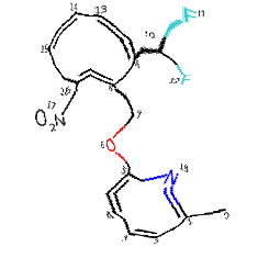 Cc1cccc(OCc2c(C(F)F)cccc2[N+](=O)[O-])n1